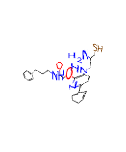 NC(CS)CNc1ccc(-c2ccccc2)nc1OCC(=O)NCCCc1ccccc1